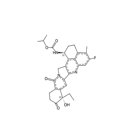 CC[C@@]1(O)C(=O)CCc2c1cc1n(c2=O)Cc2c-1nc1cc(F)c(C)c3c1c2[C@@H](NC(=O)OC(C)C)CC3